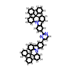 c1ccc(C2(c3ccccc3)c3ccccc3-n3c4ccc(-c5ccnc(-c6ccc7c(c6)c6cccc8c6n7-c6ccccc6C8(c6ccccc6)c6ccccc6)n5)cc4c4cccc2c43)cc1